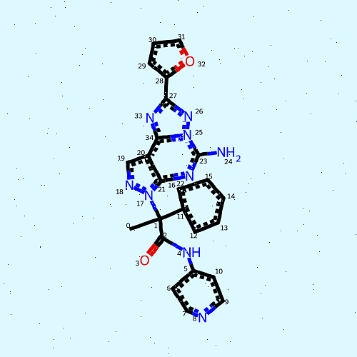 CC(C(=O)Nc1ccncc1)(c1ccccc1)n1ncc2c1nc(N)n1nc(-c3ccco3)nc21